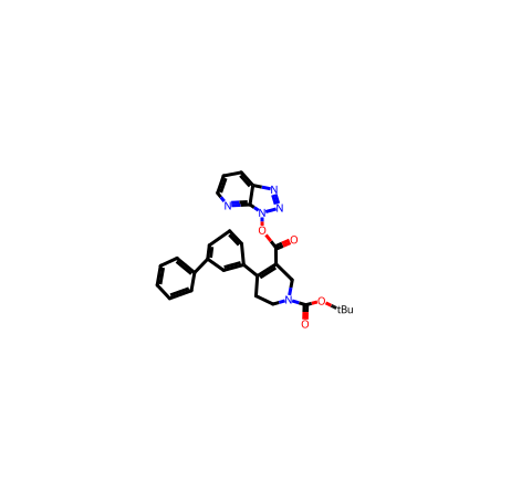 CC(C)(C)OC(=O)N1CCC(c2cccc(-c3ccccc3)c2)=C(C(=O)On2nnc3cccnc32)C1